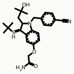 CC(C)(O)CC1C(=[SH]C(C)(C)C)c2cc(OCC(N)=O)ccc2N1Cc1ccc(C#N)cc1